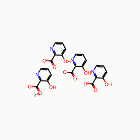 O=C([O-])c1ncccc1O.O=C([O-])c1ncccc1O.O=C([O-])c1ncccc1O.O=C([O-])c1ncccc1O.[Ir+4]